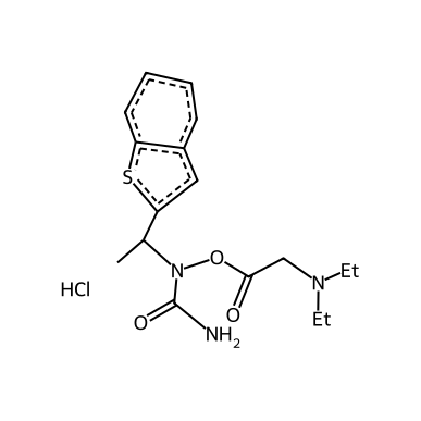 CCN(CC)CC(=O)ON(C(N)=O)C(C)c1cc2ccccc2s1.Cl